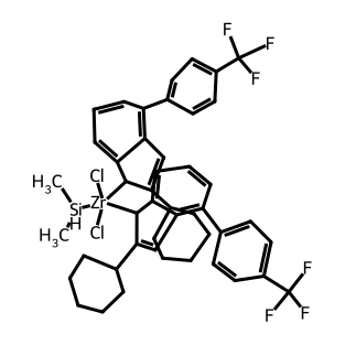 C[SiH](C)[Zr]([Cl])([Cl])([CH]1C(C2CCCCC2)=Cc2c(-c3ccc(C(F)(F)F)cc3)cccc21)[CH]1C(C2CCCCC2)=Cc2c(-c3ccc(C(F)(F)F)cc3)cccc21